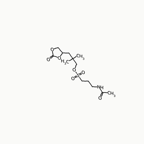 CC(=O)NCCCS(=O)(=O)OCC(C)(C)CC1COC(=O)O1